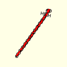 COCCOCCOCCOCCOCCOCCOCCOCCOCCOCCOCCOCCOCCOCCOCCOCCOCCOCCOCCOCCOCCOCCOCCOCCNC(O)CCCCCN1C(=O)C=CC1=O